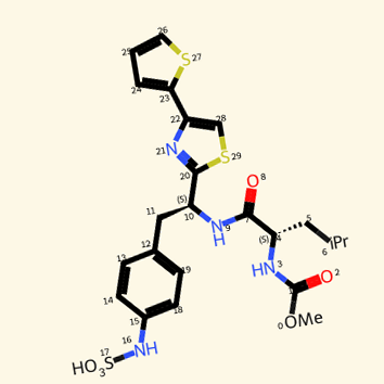 COC(=O)N[C@@H](CC(C)C)C(=O)N[C@@H](Cc1ccc(NS(=O)(=O)O)cc1)c1nc(-c2cccs2)cs1